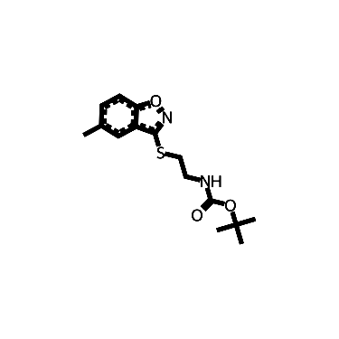 Cc1ccc2onc(SCCNC(=O)OC(C)(C)C)c2c1